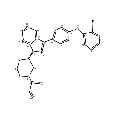 C=CC(=O)N1CCC[C@@H](n2nc(-c3ccc(Oc4ccccc4F)cc3)c3cncnc32)C1